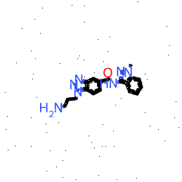 Cn1nc(NC(=O)c2ccc3c(c2)nnn3CCCN)c2ccccc21